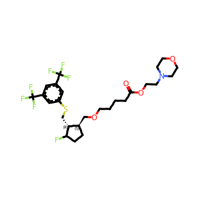 O=C(CCCCOC[C@H]1CCC(F)[C@@H]1CSc1cc(C(F)(F)F)cc(C(F)(F)F)c1)OCCN1CCOCC1